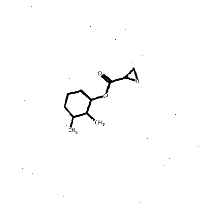 CC1CCCC(OC(=O)C2CO2)C1C